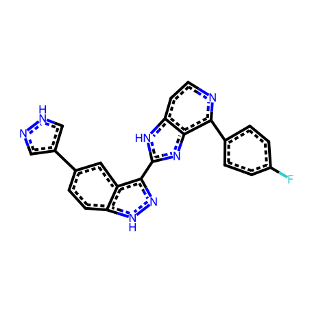 Fc1ccc(-c2nccc3[nH]c(-c4n[nH]c5ccc(-c6cn[nH]c6)cc45)nc23)cc1